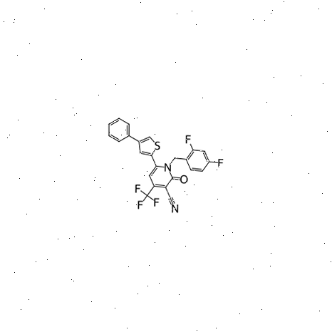 N#Cc1c(C(F)(F)F)cc(-c2cc(-c3ccccc3)cs2)n(Cc2ccc(F)cc2F)c1=O